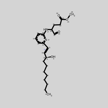 CCCCCCCC[C@H](O)/C=C/c1cccc(NC(C=O)CCC(=O)OC)n1